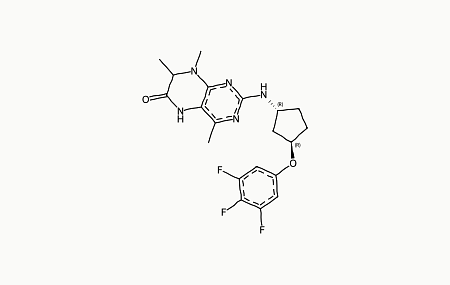 Cc1nc(N[C@@H]2CC[C@@H](Oc3cc(F)c(F)c(F)c3)C2)nc2c1NC(=O)C(C)N2C